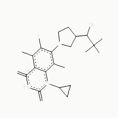 Cc1c(F)c(N2CCC(C(N)C(C)(C)O)C2)c(C)c2c1c(=O)[nH]c(=O)n2C1CC1